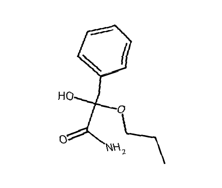 CCCOC(O)(C(N)=O)c1ccccc1